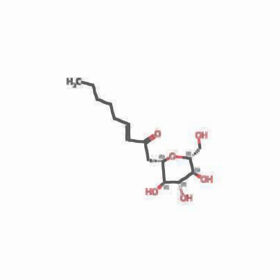 CCCCCC=CC(=O)C[C@@H]1O[C@H](CO)[C@@H](O)[C@H](O)[C@H]1O